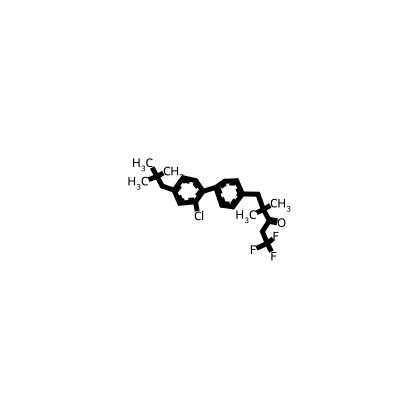 CC(C)(C)Cc1ccc(-c2ccc(CC(C)(C)C(=O)CC(F)(F)F)cc2)c(Cl)c1